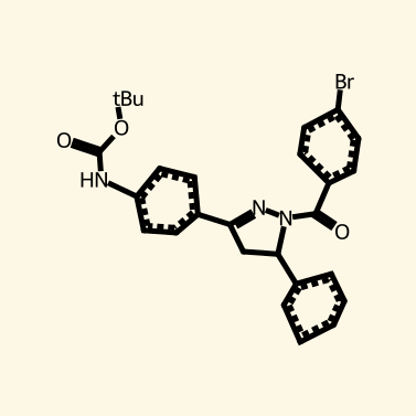 CC(C)(C)OC(=O)Nc1ccc(C2=NN(C(=O)c3ccc(Br)cc3)C(c3ccccc3)C2)cc1